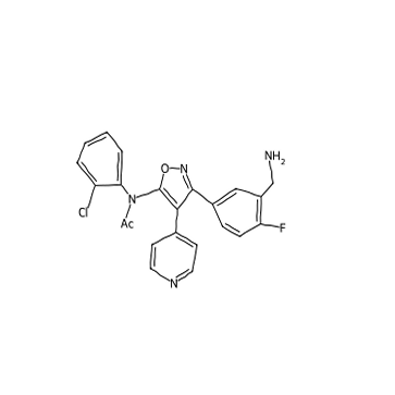 CC(=O)N(c1ccccc1Cl)c1onc(-c2ccc(F)c(CN)c2)c1-c1ccncc1